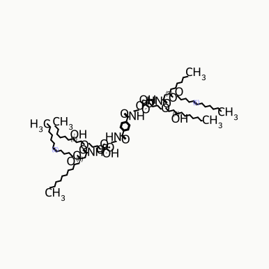 CCCCCC/C=C\CCCC(=O)O[C@H](CCCCCCCCCCC)CC(=O)NC(COCC[C@@H](O)CCCCCCC)COP(=O)(O)OCCNC(=O)c1ccc(C(=O)NCCOP(=O)(O)OCC(COCC[C@H](O)CCCCCCC)NC(=O)C[C@@H](CCCCCCC)OC(=O)CCC/C=C/CCCCCC)cc1